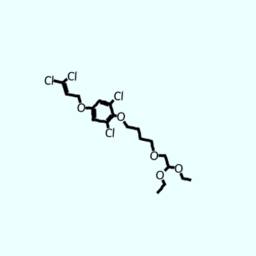 CCOC(COCCCCOc1c(Cl)cc(OCC=C(Cl)Cl)cc1Cl)OCC